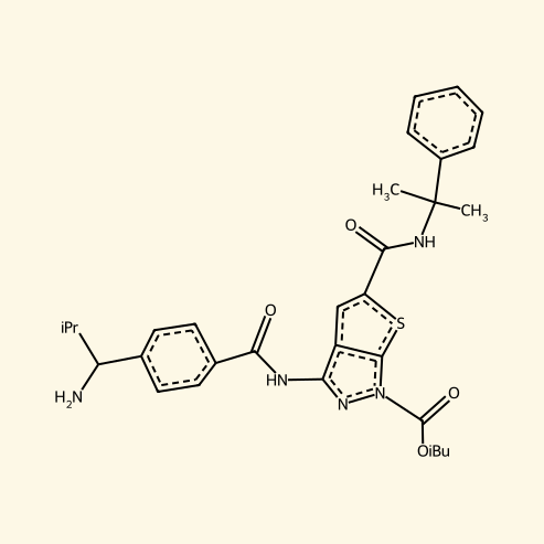 CC(C)COC(=O)n1nc(NC(=O)c2ccc(C(N)C(C)C)cc2)c2cc(C(=O)NC(C)(C)c3ccccc3)sc21